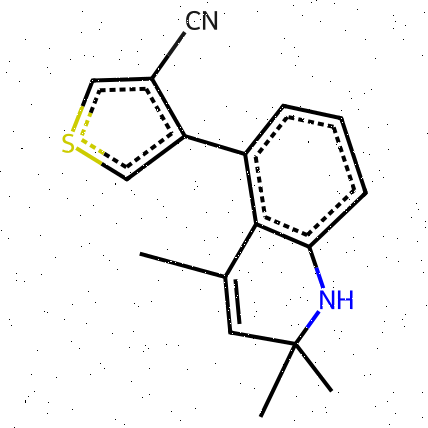 CC1=CC(C)(C)Nc2cccc(-c3cscc3C#N)c21